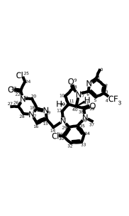 Cc1cc(C(F)(F)F)cc(N2C(=O)C[C@@H]3CN(Cc4cn5c(n4)CN(C(=O)CCl)C(C)C5)c4c(Cl)cccc4N(C)C(=O)[C@H]32)n1